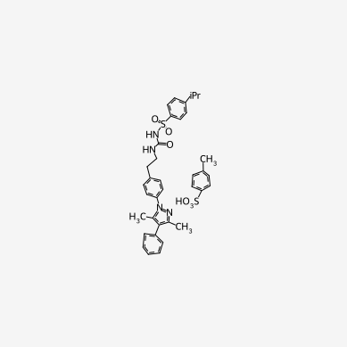 Cc1ccc(S(=O)(=O)O)cc1.Cc1nn(-c2ccc(CCNC(=O)NS(=O)(=O)c3ccc(C(C)C)cc3)cc2)c(C)c1-c1ccccc1